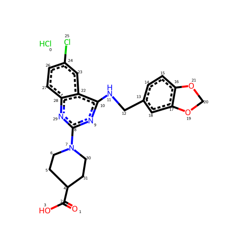 Cl.O=C(O)C1CCN(c2nc(NCc3ccc4c(c3)OCO4)c3cc(Cl)ccc3n2)CC1